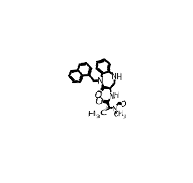 C[C@@H](C(=O)NC1CNc2ccccc2N(Cc2cccc3ccccc23)C1=O)N(C)C=O